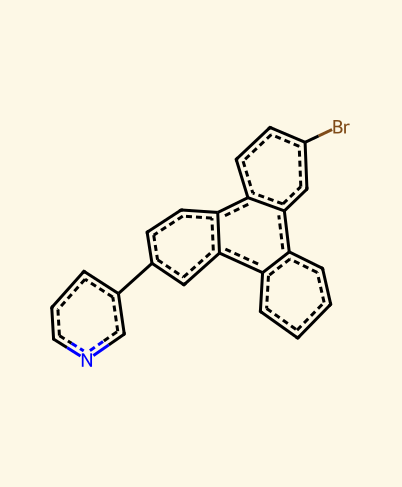 Brc1ccc2c3ccc(-c4cccnc4)cc3c3ccccc3c2c1